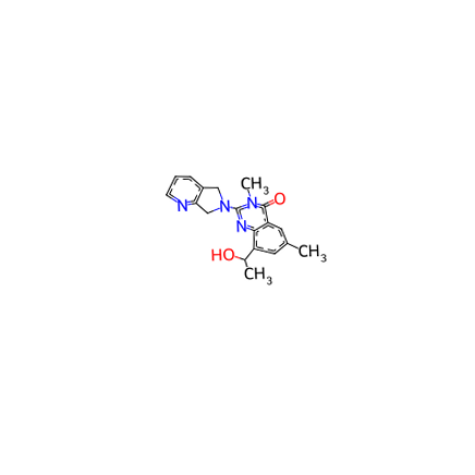 Cc1cc(C(C)O)c2nc(N3Cc4cccnc4C3)n(C)c(=O)c2c1